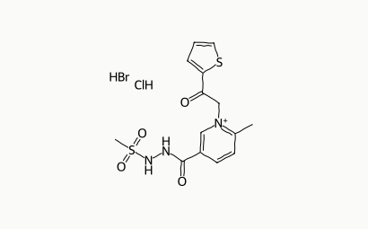 Br.Cc1ccc(C(=O)NNS(C)(=O)=O)c[n+]1CC(=O)c1cccs1.Cl